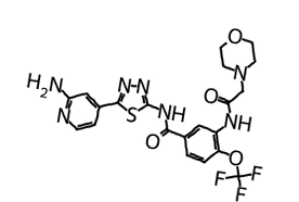 Nc1cc(-c2nnc(NC(=O)c3ccc(OC(F)(F)F)c(NC(=O)CN4CCOCC4)c3)s2)ccn1